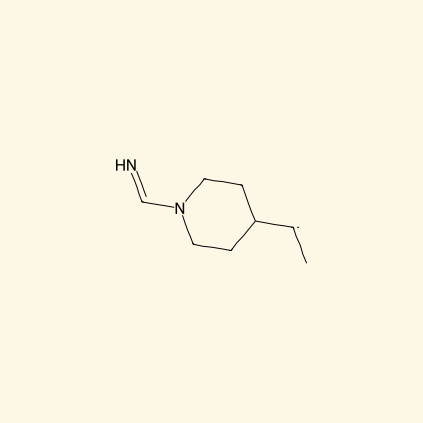 C[CH]C1CCN(C=N)CC1